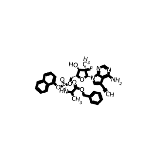 C#Cc1cn([C@@H]2O[C@H](COP(=O)(NC(C)C(=O)OCc3ccccc3)Oc3cccc4ccccc34)[C@@H](O)[C@@]2(C)F)c2ncnc(N)c12